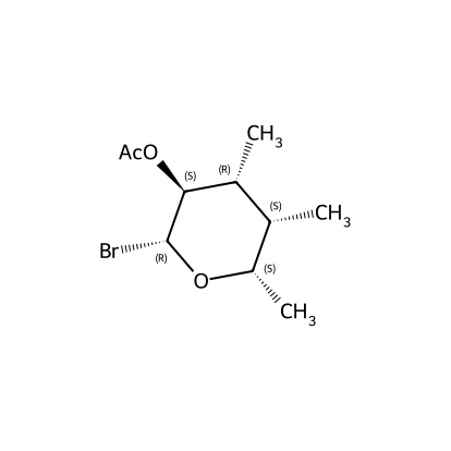 CC(=O)O[C@H]1[C@H](C)[C@H](C)[C@H](C)O[C@@H]1Br